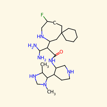 CC1NCN(C)C1C1CCNCC1NC(=O)C(C(N)N)C1CC2(CCCCC2)CCC(F)CN1